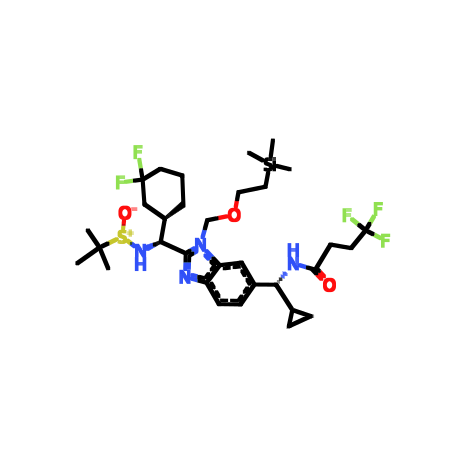 CC(C)(C)[S+]([O-])N[C@H](c1nc2ccc([C@H](NC(=O)CCC(F)(F)F)C3CC3)cc2n1COCC[Si](C)(C)C)[C@@H]1CCCC(F)(F)C1